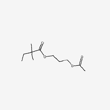 CCC(C)(C)C(=O)OCCCOC(C)=O